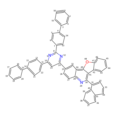 c1ccc(-c2ccc(-c3nc(-c4ccc(-c5ccccc5)cc4)cc(-c4ccc5nc(-c6cccc7ccccc67)c6c7ccccc7oc6c5c4)n3)cc2)cc#1